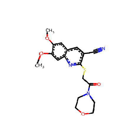 COc1cc2cc(C#N)c(SCC(=O)N3CCOCC3)nc2cc1OC